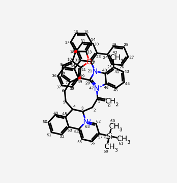 C=C1CC2C(CCc3ccc4c(oc5ccccc54)c3-c3n(-c4c(-c5ccccc5)cccc4-c4ccccc4)c4c(C)cccc4[n+]31)c1ccccc1-c1ccc([Si](C)(C)C)c[n+]12